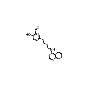 O=Cc1nc(CCCCNc2ccnc3ccccc23)ccc1O